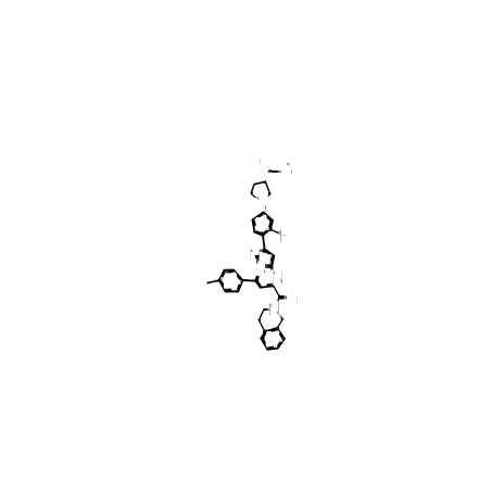 COC(=O)[C@H]1CCN(c2ccc(-c3cc4nc(C(=O)N5CCc6ccccc6[C@H]5C)cc(-c5ccc(C)cc5)n4n3)c(F)c2)C1